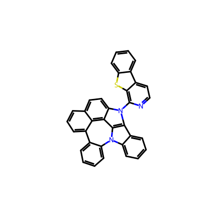 c1ccc2c(c1)sc1c(-n3c4ccc5cccc6c7ccccc7n7c8ccccc8c3c7c4c56)nccc12